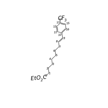 CCOC(=O)CCCCCCCC=Cc1ccc(C(F)(F)F)cc1